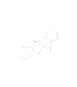 O=c1c2ccccc2c2csc3c4ccccc4n1c23